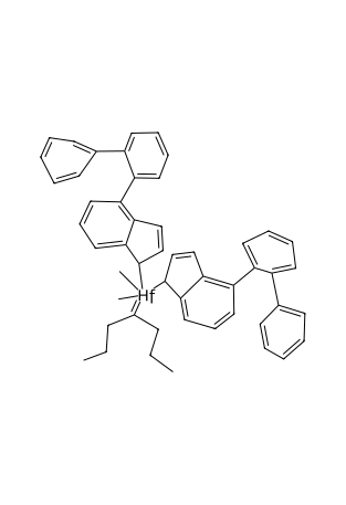 CCC[C](CCC)=[Hf]([CH3])([CH3])([CH]1C=Cc2c(-c3ccccc3-c3ccccc3)cccc21)[CH]1C=Cc2c(-c3ccccc3-c3ccccc3)cccc21